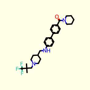 CC(C)(CN1CCC(CNc2ccc(-c3ccc(C(=O)N4CCCCC4)cc3)cc2)CC1)C(F)(F)F